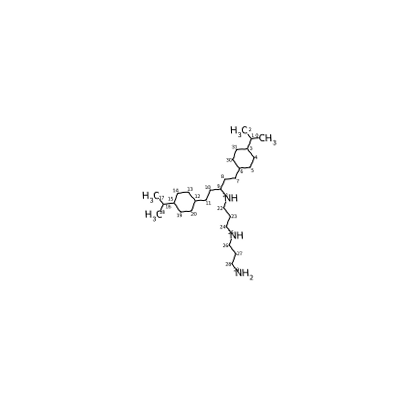 CC(C)C1CCC(CCC(CCC2CCC(C(C)C)CC2)NCCCNCCCN)CC1